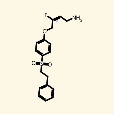 NC/C=C(/F)COc1ccc(S(=O)(=O)CCc2ccccc2)cc1